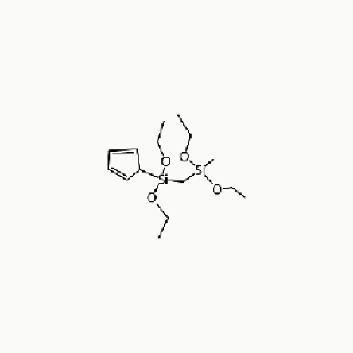 CCO[Si](C)(C[Si](OCC)(OCC)C1C=CC=C1)OCC